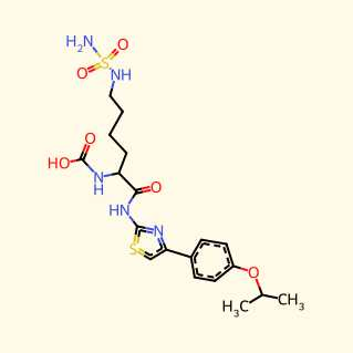 CC(C)Oc1ccc(-c2csc(NC(=O)C(CCCCNS(N)(=O)=O)NC(=O)O)n2)cc1